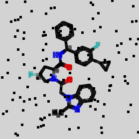 Cc1nc2ccccc2n1CC(=O)N1C[C@H](F)C[C@H]1C(=O)N[C@@H](c1ccccc1)c1ccc(C2CC2)c(F)c1